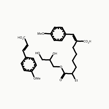 CCC(CCCCC(=Cc1ccc(OC)cc1)C(=O)O)C(=O)OCC(O)CO.COc1ccc(C=CC(=O)O)cc1